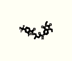 CCn1c(=O)c2cc(NC(=O)CC(C)CNC(=O)c3ccc(C(F)(F)F)cc3F)ccc2n(CC)c1=O